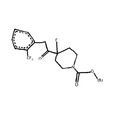 CC(C)(C)OC(=O)N1CCC(F)(C(=O)Cc2ccccc2C(F)(F)F)CC1